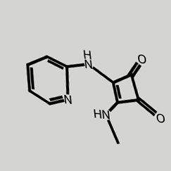 CNc1c(Nc2ccccn2)c(=O)c1=O